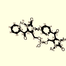 CC(=O)n1c(CO[N+](=O)OCc2c(C(=O)c3ccccn3)n(C(C)=O)c(=O)n2C(C)=O)c(C(=O)c2ccccn2)n(C(C)=O)c1=O